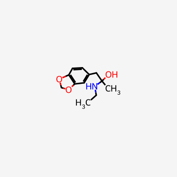 CCNC(C)(O)Cc1ccc2c(c1)OCO2